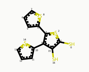 Sc1sc(-c2cccs2)c(-c2cccs2)c1S